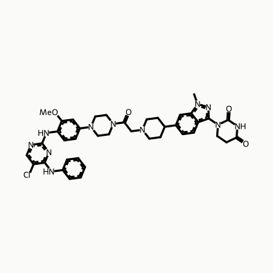 COc1cc(N2CCN(C(=O)CN3CCC(c4ccc5c(N6CCC(=O)NC6=O)nn(C)c5c4)CC3)CC2)ccc1Nc1ncc(Cl)c(Nc2ccccc2)n1